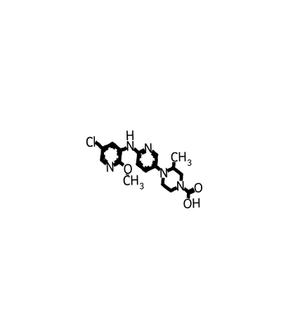 COc1ncc(Cl)cc1Nc1ccc(N2CCN(C(=O)O)CC2C)cn1